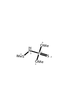 COP(=S)(NSC)OC